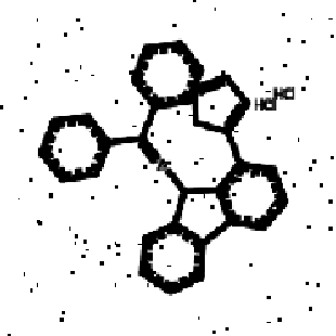 C1=CCC(c2cccc3c2[CH]([Zr]=[C](c2ccccc2)c2ccccc2)c2ccccc2-3)=C1.Cl.Cl